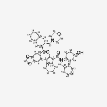 O=C(c1cc(-c2cc3c(cc2C(=O)N2Cc4ccccc4C[C@H]2CN2CCOCC2)OCO3)n2c1CCCC2)N(Cc1ccncc1)c1ccc(O)cc1